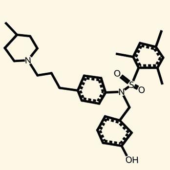 Cc1cc(C)c(S(=O)(=O)N(Cc2cccc(O)c2)c2ccc(CCCN3CCC(C)CC3)cc2)c(C)c1